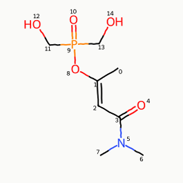 C/C(=C\C(=O)N(C)C)OP(=O)(CO)CO